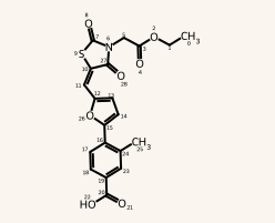 CCOC(=O)CN1C(=O)SC(=Cc2ccc(-c3ccc(C(=O)O)cc3C)o2)C1=O